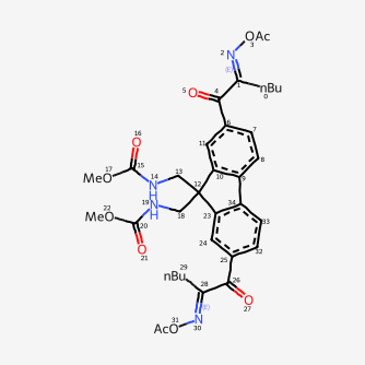 CCCC/C(=N\OC(C)=O)C(=O)c1ccc2c(c1)C(CNC(=O)OC)(CNC(=O)OC)c1cc(C(=O)/C(CCCC)=N/OC(C)=O)ccc1-2